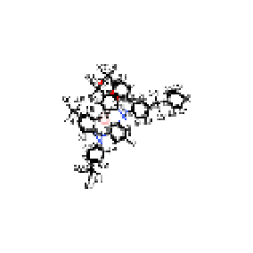 Cc1cc2c3c(c1)N(c1ccc(C(C)(C)c4ccccc4)cc1-c1ccc(C(C)(C)C)cc1)c1ccc(C(C)(C)C)cc1B3c1cc(C(C)(C)C)ccc1N2c1ccc(C(C)(C)C)cc1